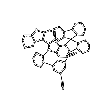 N#Cc1cc(C#N)cc(-c2ccccc2-n2c3ccc4c(c3c3ccc5oc6ccccc6c5c32)C2(c3ccccc3-c3ccccc32)c2ccccc2-4)c1